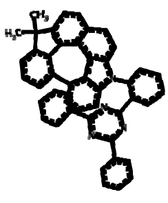 CC1(C)c2cccc3c2-c2c1ccc1ccc4c(c21)c1c-3cccc1n4-c1ccccc1-c1nc(-c2ccccc2)nc(-c2ccccc2)n1